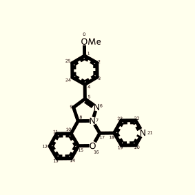 COc1ccc(C2=NN3C(C2)c2ccccc2OC3c2ccncc2)cc1